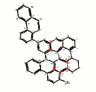 CC(C)(C)c1ccc(-c2ccccc2N(c2cccc(-c3cccc4c3ccc3ccccc34)c2)c2ccccc2-c2cccc3cccc(C4CCCCC4)c23)cc1